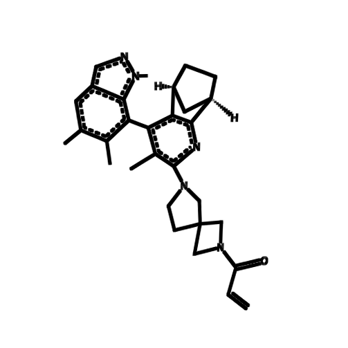 C=CC(=O)N1CC2(CCN(c3nc4c(c(-c5c(C)c(C)cc6cnn(C)c56)c3C)[C@H]3CC[C@@H]4C3)C2)C1